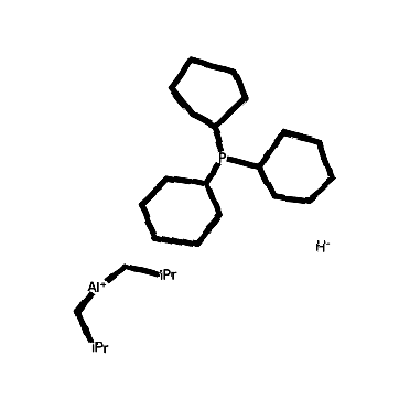 C1CCC(P(C2CCCCC2)C2CCCCC2)CC1.CC(C)[CH2][Al+][CH2]C(C)C.[H-]